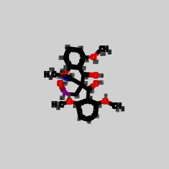 COc1cccc(OC)c1C(=O)C(C#N)(CP=O)C(=O)c1c(OC)cccc1OC